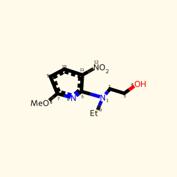 CCN(CCO)c1nc(OC)ccc1[N+](=O)[O-]